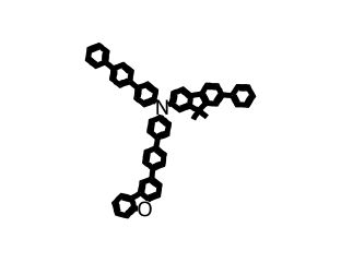 CC1(C)c2cc(-c3ccccc3)ccc2-c2ccc(N(c3ccc(-c4ccc(-c5ccccc5)cc4)cc3)c3ccc(-c4ccc(-c5ccc6oc7ccccc7c6c5)cc4)cc3)cc21